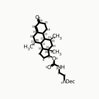 CCCCCCCCCCCCNC(=O)O[C@H]1CCC2C3C(C4CCC(=O)C=C4C[C@H]3C)[C@@H](C)C[C@@]21C